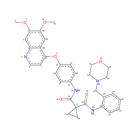 COc1cc2nccc(Oc3ccc(NC(=O)C4(C(=O)Nc5ccccc5CN5CCOCC5)CC4)cc3)c2cc1OC